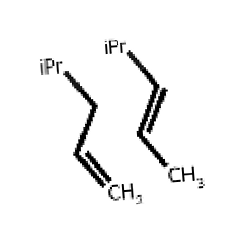 C/C=C/C(C)C.C=CCC(C)C